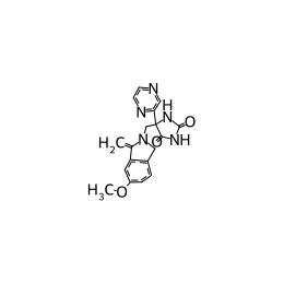 C=C1c2cc(OC)ccc2CN1CC1(c2cnccn2)NC(=O)NC1=O